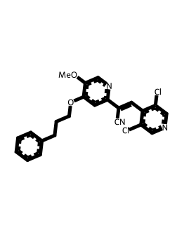 COc1cnc(C(C#N)=Cc2c(Cl)cncc2Cl)cc1OCCCc1ccccc1